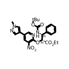 CCOC(=O)[C@H](Oc1ncc(-c2cnn(C)c2)cc1[N+](=O)[O-])[C@H](NC(=O)OC(C)(C)C)c1ccccc1